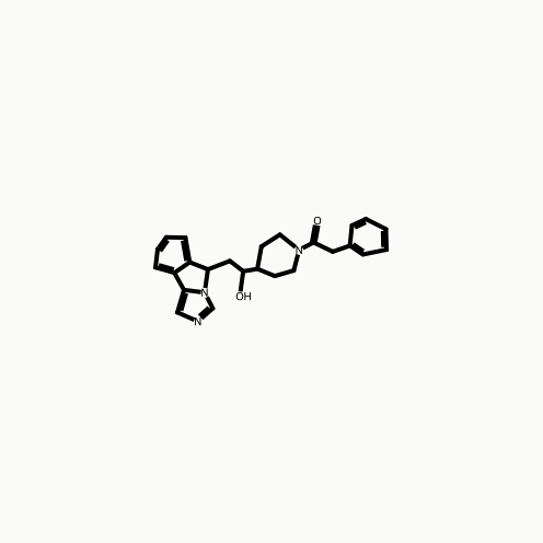 O=C(Cc1ccccc1)N1CCC(C(O)CC2c3ccccc3-c3cncn32)CC1